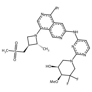 CO[C@H]1[C@@H](O)CN(c2nccc(Nc3cc4c(C(C)C)ncc(N5C[C@H](CS(C)(=O)=O)[C@H]5C)c4cn3)n2)CC1(F)F